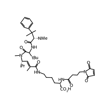 CN[C@H](C(=O)NC(C(=O)N(C)[C@H](/C=C(\C)C(=O)NCCCC[C@@H](NC(=O)CCCN1C(=O)C=CC1=O)C(=O)O)C(C)C)C(C)(C)C)C(C)(C)c1ccccc1